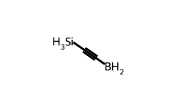 BC#C[SiH3]